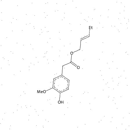 CC/C=C/COC(=O)Cc1ccc(O)c(OC)c1